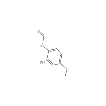 COc1ccc(NC=O)cc1.[KH]